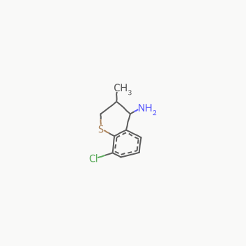 CC1CSc2c(Cl)cccc2C1N